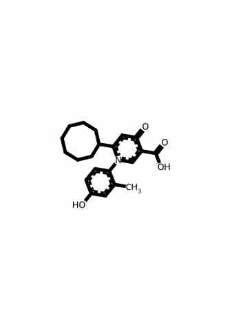 Cc1cc(O)ccc1-n1cc(C(=O)O)c(=O)cc1C1CCCCCCC1